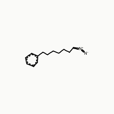 [N-]=[N+]=CCCCCCCc1ccccc1